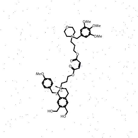 COc1ccc(C[C@@H]2c3cc(CO)c(CO)cc3CC[N@@+]2(C)CCCOC(=O)/C=C\C(=O)OCCC[N+]2(Cc3cc(OC)c(OC)c(OC)c3)CCOCC2)cc1